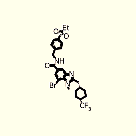 CCS(=O)(=O)c1ccc(CNC(=O)c2cc(Br)c3c(c2)nc(C[C@H]2CC[C@H](C(F)(F)F)CC2)n3C)cc1